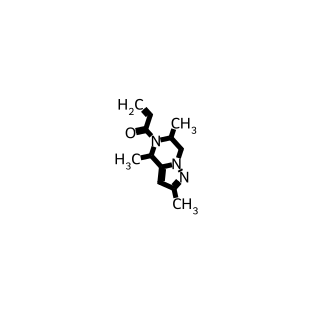 C=CC(=O)N1C(C)Cn2nc(C)cc2C1C